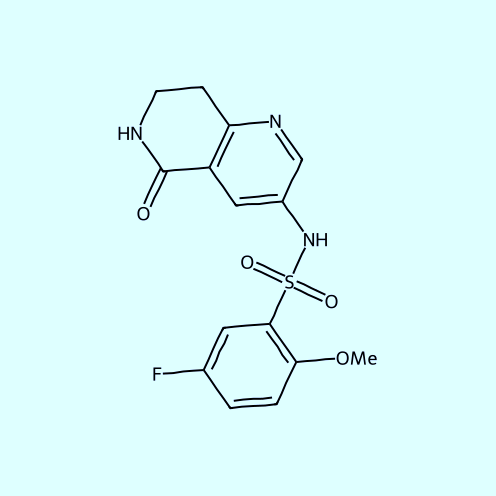 COc1ccc(F)cc1S(=O)(=O)Nc1cnc2c(c1)C(=O)NCC2